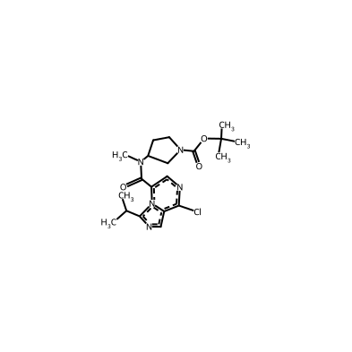 CC(C)c1ncc2c(Cl)ncc(C(=O)N(C)C3CCN(C(=O)OC(C)(C)C)C3)n12